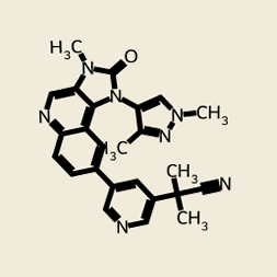 Cc1nn(C)cc1-n1c(=O)n(C)c2cnc3ccc(-c4cncc(C(C)(C)C#N)c4)cc3c21